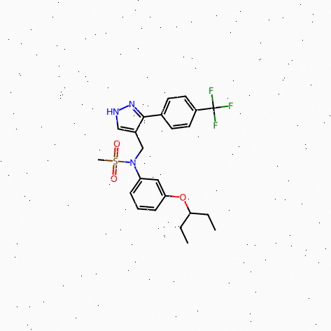 CCC(CC)Oc1cccc(N(Cc2c[nH]nc2-c2ccc(C(F)(F)F)cc2)S(C)(=O)=O)c1